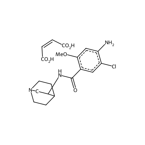 COc1cc(N)c(Cl)cc1C(=O)NC1CN2CCC1CC2.O=C(O)/C=C\C(=O)O